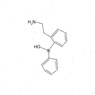 NCCc1ccccc1B(O)c1ccccc1